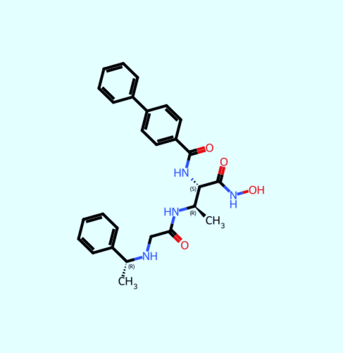 C[C@@H](NCC(=O)N[C@H](C)[C@H](NC(=O)c1ccc(-c2ccccc2)cc1)C(=O)NO)c1ccccc1